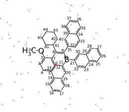 COc1ccccc1/C(=C(\B(c1ccc2ccccc2c1)c1ccc2ccccc2c1)c1ccc2ccccc2c1)C1CCCCC1